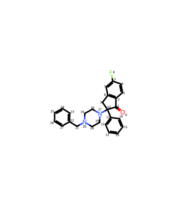 O=C1c2ccc(F)cc2CC1(c1ccccc1)N1CCN(Cc2ccccc2)CC1